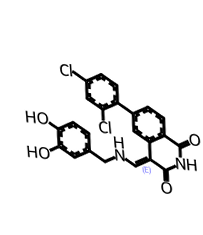 O=C1NC(=O)c2ccc(-c3ccc(Cl)cc3Cl)cc2/C1=C\NCc1ccc(O)c(O)c1